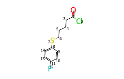 O=C(Cl)CCCCSc1ccc(F)cc1